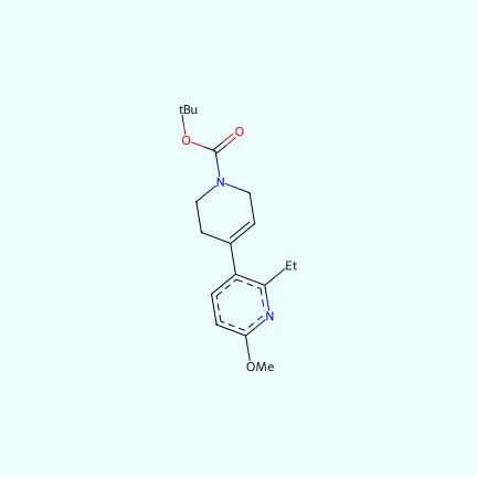 CCc1nc(OC)ccc1C1=CCN(C(=O)OC(C)(C)C)CC1